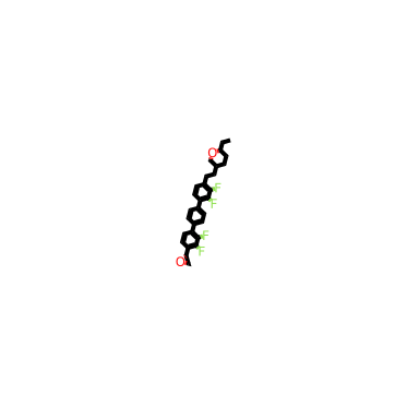 CCC1CCC(CCc2ccc(-c3ccc(-c4ccc(C5CO5)c(F)c4F)cc3)c(F)c2F)CO1